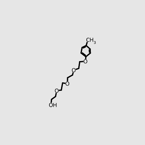 Cc1ccc(OCCOCCOCCOCCO)cc1